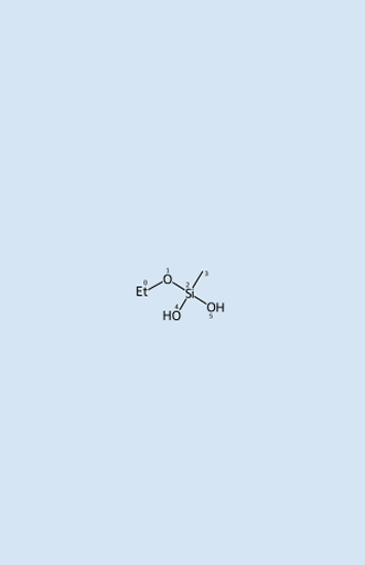 CCO[Si](C)(O)O